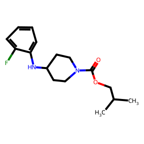 CC(C)COC(=O)N1CCC(Nc2ccccc2F)CC1